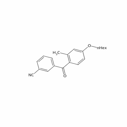 CCCCCCOc1ccc(C(=O)c2cccc(C#N)c2)c(C)c1